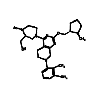 CC(=O)N1CCN(c2nc(OC[C@@H]3CCCN3C)nc3c2CCN(c2cccc(C)c2C)C3)CC1CC#N